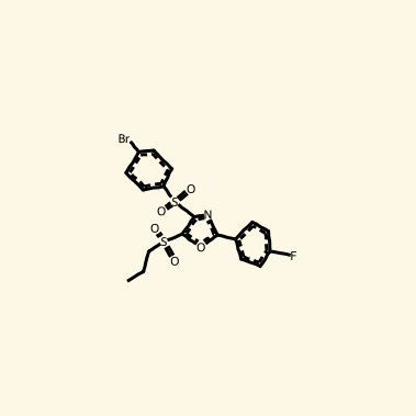 CCCS(=O)(=O)c1oc(-c2ccc(F)cc2)nc1S(=O)(=O)c1ccc(Br)cc1